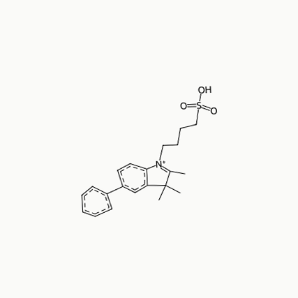 CC1=[N+](CCCCS(=O)(=O)O)c2ccc(-c3ccccc3)cc2C1(C)C